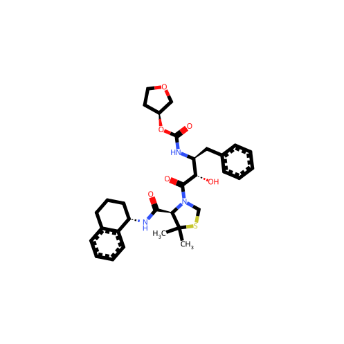 CC1(C)SCN(C(=O)[C@@H](O)[C@H](Cc2ccccc2)NC(=O)O[C@H]2CCOC2)[C@@H]1C(=O)N[C@H]1CCCc2ccccc21